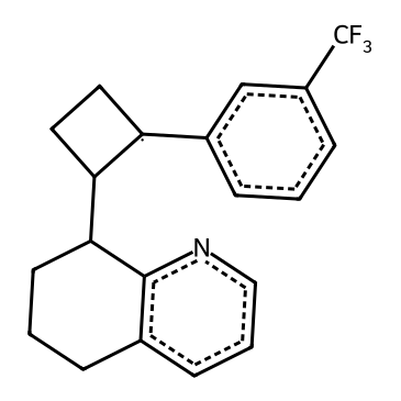 FC(F)(F)c1cccc([C]2CCC2C2CCCc3cccnc32)c1